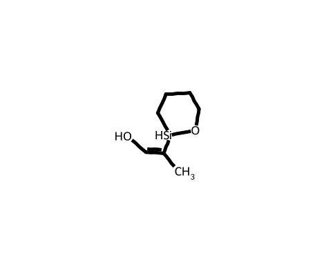 C/C(=C/O)[SiH]1CCCCO1